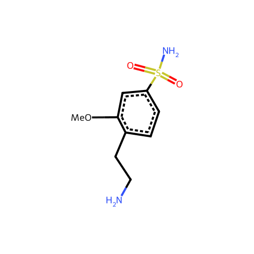 COc1cc(S(N)(=O)=O)ccc1CCN